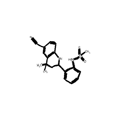 CC1(C)CC(c2ccccc2NS(C)(=O)=O)Nc2ccc(C#N)cc21